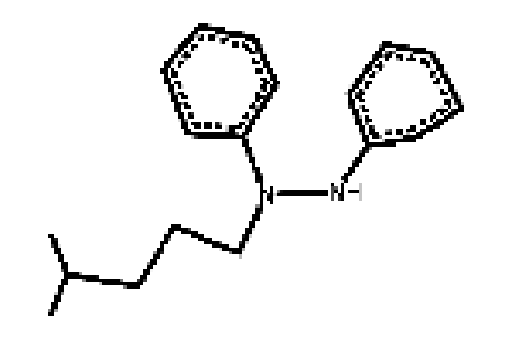 CC(C)CCCN(Nc1ccccc1)c1ccccc1